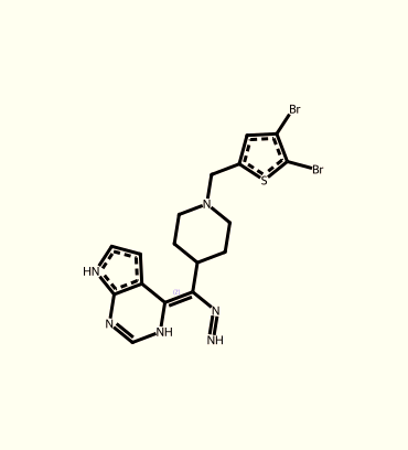 N=N/C(=C1\NC=Nc2[nH]ccc21)C1CCN(Cc2cc(Br)c(Br)s2)CC1